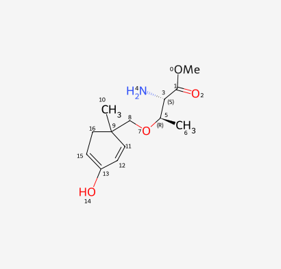 COC(=O)[C@@H](N)[C@@H](C)OCC1(C)C=CC(O)=CC1